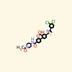 CC(=O)N1CCC(NC(=O)c2ccc(-c3ccc(-c4nc(-c5ccc(Cl)c(Cl)c5)cs4)cc3C(=O)O)cc2)CC1